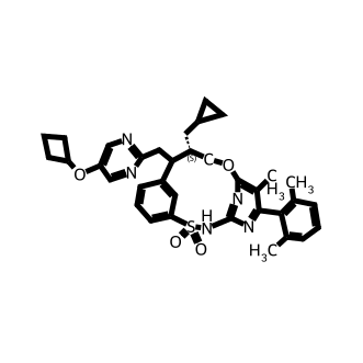 Cc1cccc(C)c1-c1nc2nc(c1C)OC[C@@H](CC1CC1)C(Cc1ncc(OC3CCC3)cn1)c1cccc(c1)S(=O)(=O)N2